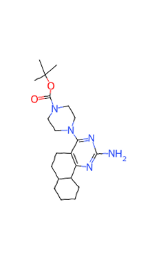 CC(C)(C)OC(=O)N1CCN(c2nc(N)nc3c2CCC2CCCCC32)CC1